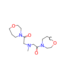 CN(CC(=O)N1CCCOCC1)CC(=O)N1CCCOCC1